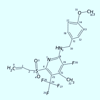 C=CCS(=O)(=O)c1nc(NCc2ccc(OC)cc2)c(F)c(C)c1C(F)(F)F